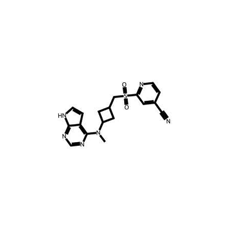 CN(c1ncnc2[nH]ccc12)C1CC(CS(=O)(=O)c2cc(C#N)ccn2)C1